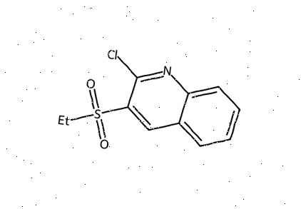 CCS(=O)(=O)c1cc2ccccc2nc1Cl